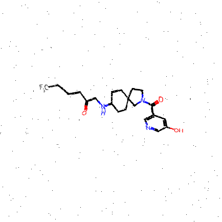 O=C(CCCC(F)(F)F)CNC1CCC2(CC1)CCN(C(=O)c1cncc(O)c1)C2